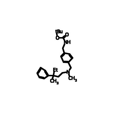 CCC(C)(CCN(C)Cc1ccc(CNC(=O)OC(C)(C)C)cc1)c1ccccc1